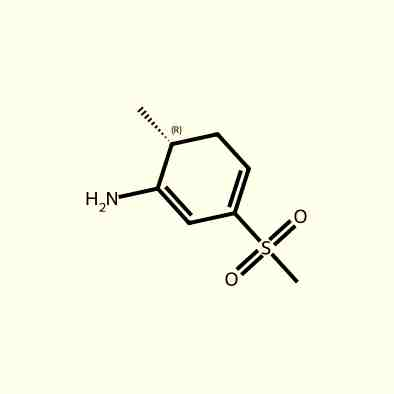 C[C@@H]1CC=C(S(C)(=O)=O)C=C1N